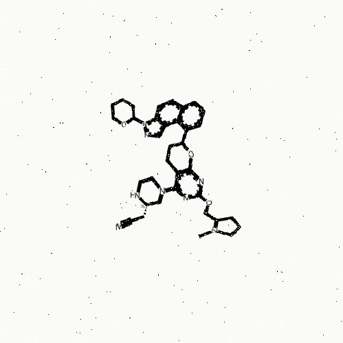 CN1CCCC1COc1nc2c(c(N3CCN[C@@H](CC#N)C3)n1)CCC(c1cccc3ccc4c(cnn4C4CCCCO4)c13)O2